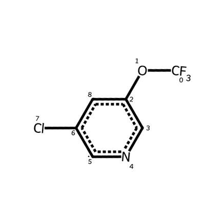 FC(F)(F)Oc1cn[c]c(Cl)c1